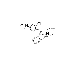 O=[N+]([O-])c1ccc(O[C@H]2c3ccccc3C[C@@H]2N2CCOCC2)c(Cl)c1